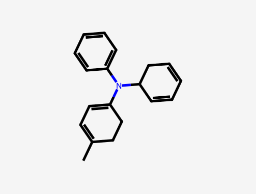 CC1=CC=C(N(c2ccccc2)C2C=CC=CC2)CC1